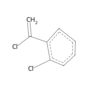 C=C(Cl)c1ccccc1Cl